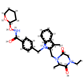 CCN1CC(=O)N(Cc2c(C)c3ccccc3n2Cc2ccc(C(=O)NOC3CCCCO3)cc2)C(C)C1=O